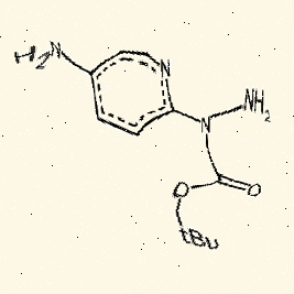 CC(C)(C)OC(=O)N(N)c1ccc(N)cn1